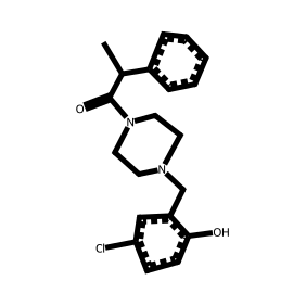 CC(C(=O)N1CCN(Cc2cc(Cl)ccc2O)CC1)c1ccccc1